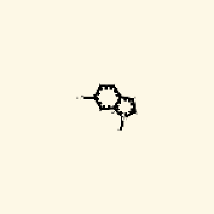 Cn1ccc2ccc(F)cc21